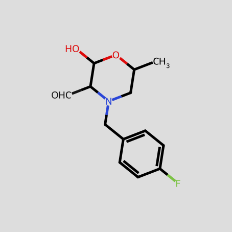 CC1CN(Cc2ccc(F)cc2)C(C=O)C(O)O1